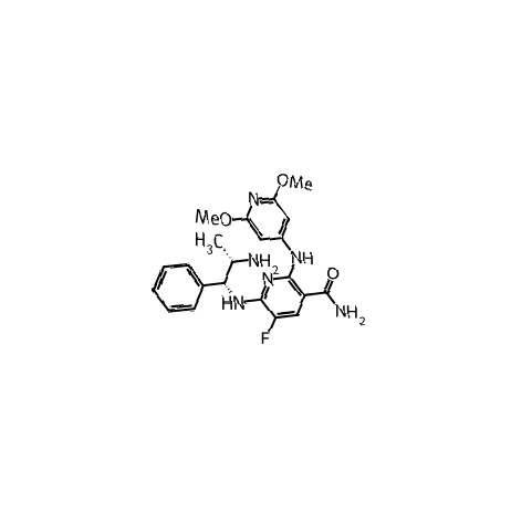 COc1cc(Nc2nc(N[C@H](c3ccccc3)[C@H](C)N)c(F)cc2C(N)=O)cc(OC)n1